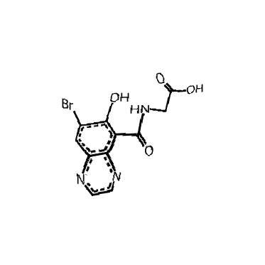 O=C(O)CNC(=O)c1c(O)c(Br)cc2nccnc12